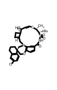 CCCC[C@H]1[C@@H](C)C/C=C\C(O)[C@@H]2CC[C@H]2CN2C[C@@]3(CCCc4cc(Cl)ccc43)COc3ccc(cc32)C(=O)NS1(=O)=O